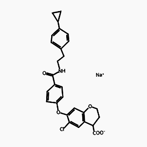 O=C(NCCc1ccc(C2CC2)cc1)c1ccc(Oc2cc3c(cc2Cl)C(C(=O)[O-])CCO3)cc1.[Na+]